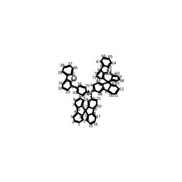 c1ccc2c(c1)-c1ccccc1C21c2ccccc2-c2ccc(N(c3ccc(-c4cccc5c4oc4ccccc45)cc3)c3ccc4c(c3)-c3ccccc3C43c4ccccc4-n4c5ccccc5c5cccc3c54)cc21